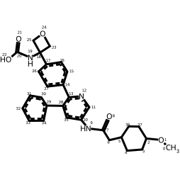 COC1CCC(CC(=O)Nc2cnc(-c3ccc(C4(NC(=O)O)COC4)cc3)c(-c3ccccc3)c2)CC1